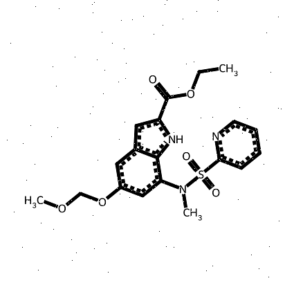 CCOC(=O)c1cc2cc(OCOC)cc(N(C)S(=O)(=O)c3ccccn3)c2[nH]1